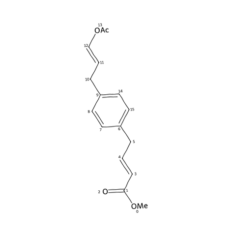 COC(=O)/C=C/Cc1ccc(C/C=C/OC(C)=O)cc1